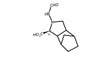 O=CBN1CC2C3CCC(C3)C2[C@H]1C(=O)O